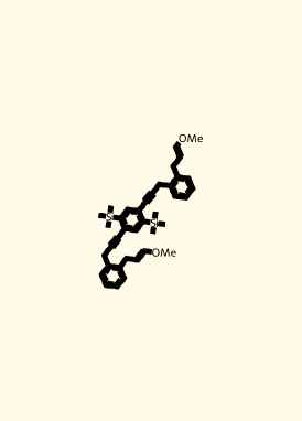 COC=CCc1ccccc1CC#Cc1cc([Si](C)(C)C)c(C#CCc2ccccc2CC=COC)cc1[Si](C)(C)C